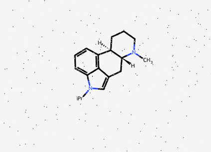 CC(C)n1cc2c3c(cccc31)[C@H]1C[CH]CN(C)[C@@H]1C2